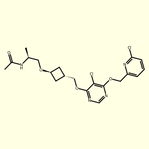 CC(=O)N[C@@H](C)CO[C@H]1C[C@H](COc2ncnc(OCc3cccc(Cl)n3)c2Cl)C1